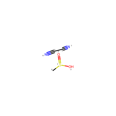 CS(=O)O.N#CC#N